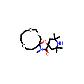 CN1C(=O)C2(CC(C)(C)NC(C)(C)C2)OC12CCCCCCCCCCC2